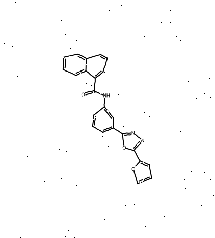 O=C(Nc1cccc(-c2nnc(-c3ccco3)o2)c1)c1cccc2ccccc12